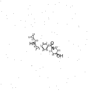 O=C(c1ccc([C@@H]2C[C@H]2NCC2CC2)cc1)N1CCC(O)CC1